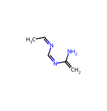 C=C(N)/N=C\N=C/C